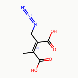 C/C(C(=O)O)=C(\CN=[N+]=[N-])C(=O)O